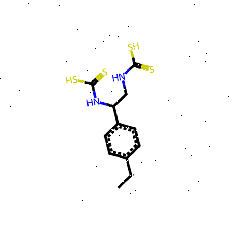 C[CH]c1ccc(C(CNC(=S)S)NC(=S)S)cc1